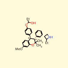 CCC(O)Oc1ccc([C@@H]2c3ccc(OC)cc3OC(C)(C)[C@H]2c2ccccc2)cc1.CCC1CCN1